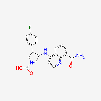 NC(=O)c1cccc2c(NC3CN(C(=O)O)CC3c3ccc(F)cc3)ccnc12